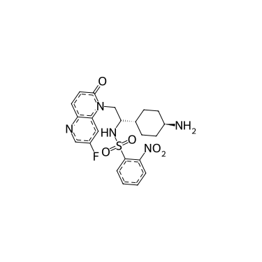 N[C@H]1CC[C@H](C(Cn2c(=O)ccc3ncc(F)cc32)NS(=O)(=O)c2ccccc2[N+](=O)[O-])CC1